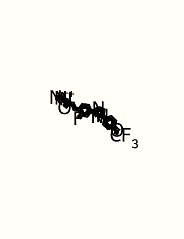 [N-]=[N+]=NC(=O)CCc1ccc(-c2ncn(-c3ccc(OC(F)(F)F)cc3)n2)cc1F